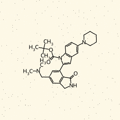 CN(C)Cc1cc2c(c(-c3cc4cc(N5CCCCC5)ccc4n3C(=O)OC(C)(C)C)c1)C(=O)NC2